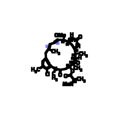 CN[C@@H](C)C(=O)O[C@H]1CC(=O)N(C)c2cc(cc(C)c2Cl)C/C(C)=C/C=C/[C@@H](OC)[C@@]2(O)C[C@H](OC(=O)N2)[C@@H](C)[C@@H]2O[C@]12C